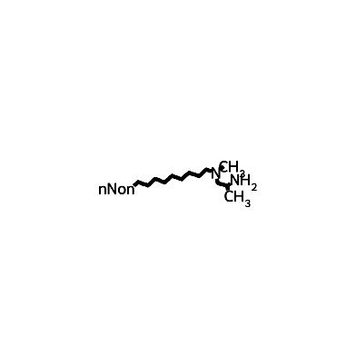 CCCCCCCCCCCCCCCCCCN(C)CC(C)N